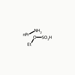 CCCN.CCOS(=O)(=O)O